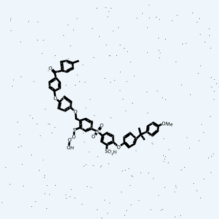 COc1ccc(C(C)(C)c2ccc(Oc3ccc(S(=O)(=O)c4ccc(COc5ccc(Oc6ccc(C(=O)c7ccc(C)cc7)cc6)cc5)c(SOOO)c4)cc3S(=O)(=O)O)cc2)cc1